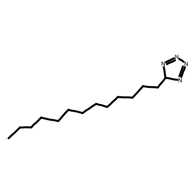 [CH2]CCCCCCCCCCCCC1N=NN=N1